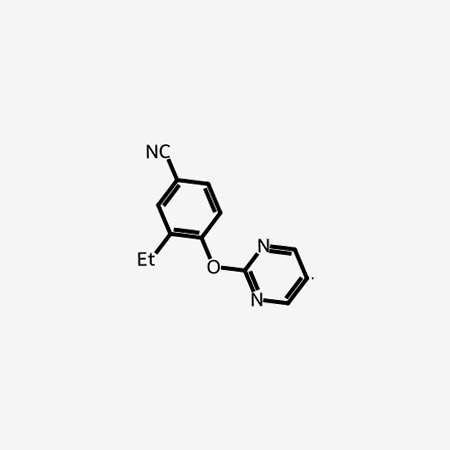 CCc1cc(C#N)ccc1Oc1nc[c]cn1